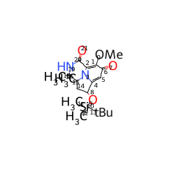 COc1c2n3c(cc1=O)C(O[Si](C)(C)C(C)(C)C)CC3(C)C(C)NC2=O